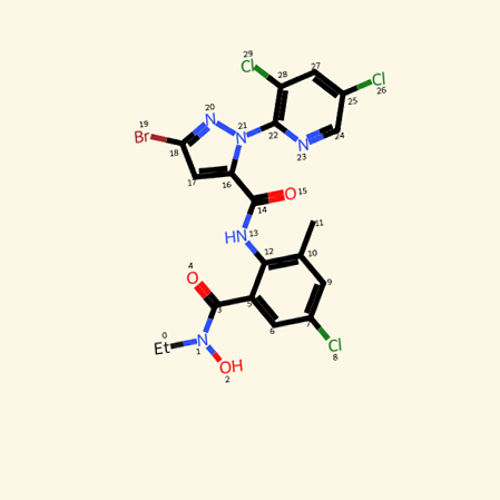 CCN(O)C(=O)c1cc(Cl)cc(C)c1NC(=O)c1cc(Br)nn1-c1ncc(Cl)cc1Cl